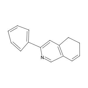 C1=Cc2cnc(-c3ccccc3)cc2CC1